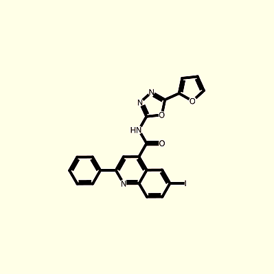 O=C(Nc1nnc(-c2ccco2)o1)c1cc(-c2ccccc2)nc2ccc(I)cc12